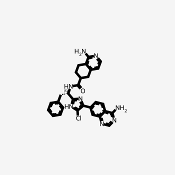 Nc1nccc2c1CCC(C(=O)N[C@@H](Cc1ccccc1)c1nc(-c3ccc4c(N)ncnc4c3)c(Cl)[nH]1)C2